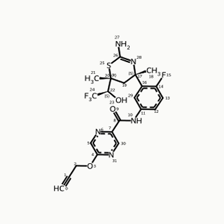 C#CCOc1cnc(C(=O)Nc2ccc(F)c([C@]3(C)C[C@](C)([C@@H](O)C(F)(F)F)SC(N)=N3)c2)cn1